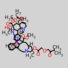 CC[C@]1(OC(=O)COCC(=O)C(C)C)C[C@H]2CN(CCc3c([nH]c4ccccc34)C(C(=O)OC)(c3cc4c(cc3OC)N(C)[C@H]3[C@@](O)(C(=O)OC)[C@H](OC(C)=O)[C@]5(CC)C=CCN6CC[C@]43[C@@H]65)C2)C1